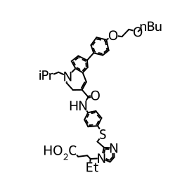 CCCCOCCOc1ccc(-c2ccc3c(c2)C=C(C(=O)Nc2ccc(SCc4nccn4C(CC)CCC(=O)O)cc2)CCN3CC(C)C)cc1